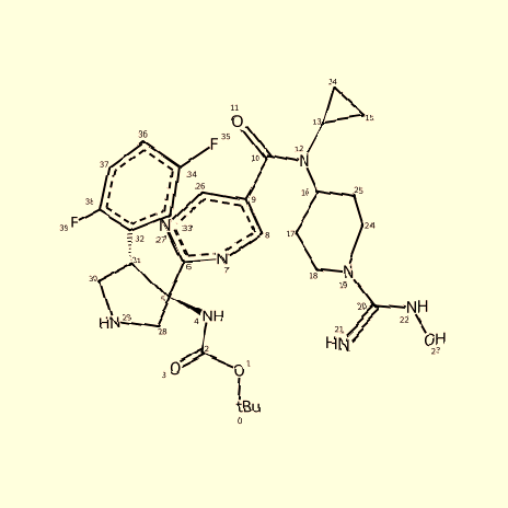 CC(C)(C)OC(=O)N[C@@]1(c2ncc(C(=O)N(C3CC3)C3CCN(C(=N)NO)CC3)cn2)CNC[C@@H]1c1cc(F)ccc1F